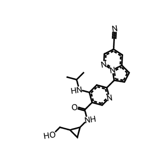 CC(C)Nc1cc(-c2ccc3cc(C#N)cnn23)ncc1C(=O)NC1CC1CO